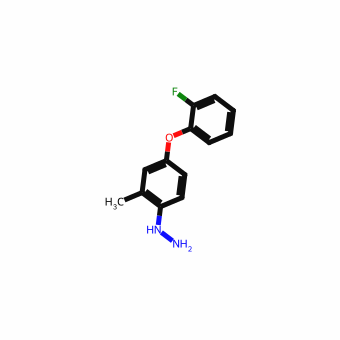 Cc1cc(Oc2ccccc2F)ccc1NN